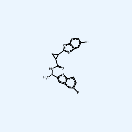 C[C@@H](NC(=O)C1CC1c1nc2cc(Cl)ccc2o1)c1cc2cc(F)ccc2o1